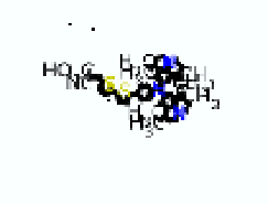 CC1(C)CCN2CCC(C)(C)c3cc(N(c4ccc(-c5ccc(-c6ccc(/C=C(\C#N)C(=O)O)s6)s5)cc4)c4cc5c6c(c4)C(C)(C)CCN6CCC5(C)C)cc1c32